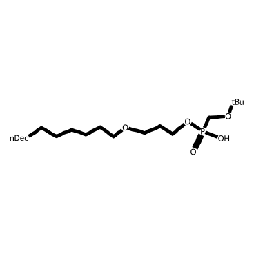 CCCCCCCCCCCCCCCCOCCCOP(=O)(O)COC(C)(C)C